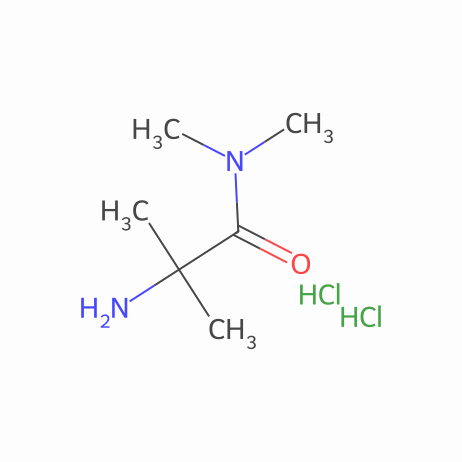 CN(C)C(=O)C(C)(C)N.Cl.Cl